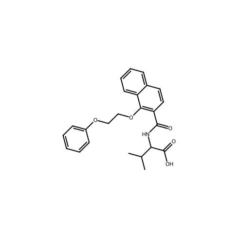 CC(C)C(NC(=O)c1ccc2ccccc2c1OCCOc1ccccc1)C(=O)O